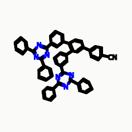 N#Cc1ccc(-c2ccc(-c3cccc(-c4nc(-c5ccccc5)nc(-c5ccccc5)n4)c3)c(-c3cccc(-c4nc(-c5ccccc5)nc(-c5ccccc5)n4)c3)c2)cc1